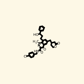 Cn1nc(C(=O)NCc2ccc(Cl)cc2)c(=O)c2cc(CC3CCOC(=O)C3)cc(CCC(O)c3ccccc3)c21